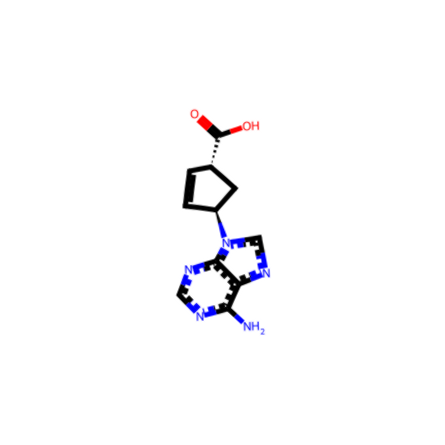 Nc1ncnc2c1ncn2[C@H]1C=C[C@H](C(=O)O)C1